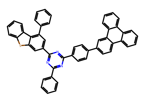 c1ccc(-c2nc(-c3ccc(-c4ccc5c6ccccc6c6ccccc6c5c4)cc3)nc(-c3cc(-c4ccccc4)c4c(c3)sc3ccccc34)n2)cc1